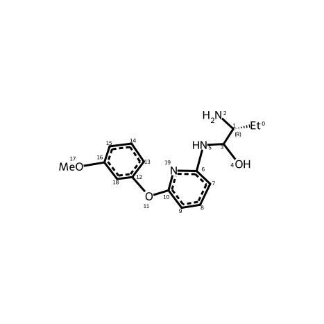 CC[C@@H](N)C(O)Nc1cccc(Oc2cccc(OC)c2)n1